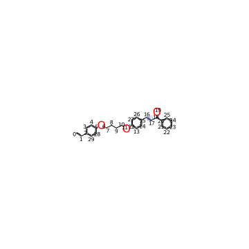 C=Cc1ccc(OCCCCOc2ccc(/C=C/C(=O)c3ccccc3)cc2)cc1